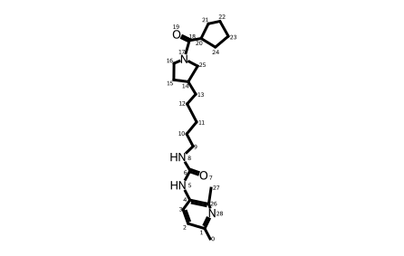 Cc1ccc(NC(=O)NCCCCCC2CCN(C(=O)C3CCCC3)C2)c(C)n1